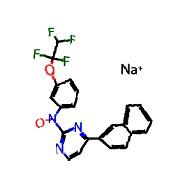 [Na+].[O-]N(c1cccc(OC(F)(F)C(F)F)c1)c1nccc(-c2ccc3ccccc3c2)n1